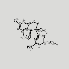 Cc1cc(C)nc(C2(C)CCc3nc(Cl)cc(C)c3C2=O)n1